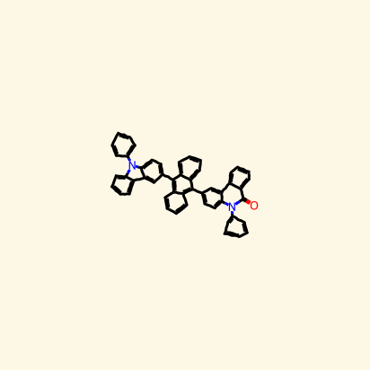 O=c1c2ccccc2c2cc(-c3c4ccccc4c(-c4ccc5c(c4)c4ccccc4n5-c4ccccc4)c4ccccc34)ccc2n1-c1ccccc1